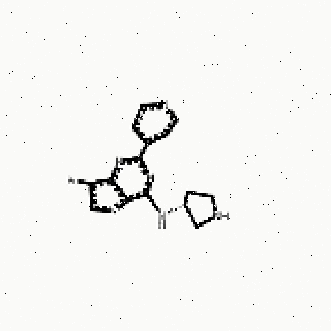 Brc1csc2c(N[C@@H]3CCNC3)nc(-c3ccncc3)nc12